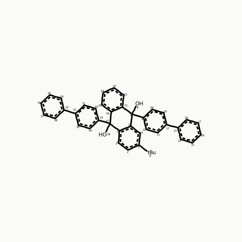 CC(C)(C)c1ccc2c(c1)C(O)(c1ccc(-c3ccccc3)cc1)c1ccccc1C2(O)c1ccc(-c2ccccc2)cc1